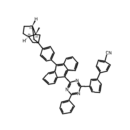 C[C@@]12CC3(c4ccc(-c5c6ccccc6c(-c6nc(-c7ccccc7)nc(-c7cccc(-c8ccc(C#N)cc8)c7)n6)c6ccccc56)cc4)C[C@H]1CC[C@H]2C3